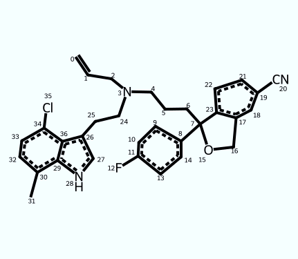 C=CCN(CCCC1(c2ccc(F)cc2)OCc2cc(C#N)ccc21)CCc1c[nH]c2c(C)ccc(Cl)c12